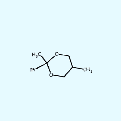 CC1COC(C)(C(C)C)OC1